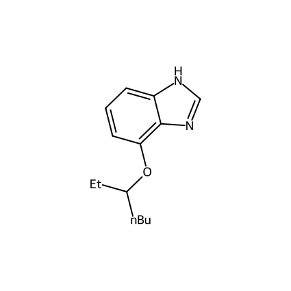 CCCCC(CC)Oc1cccc2[nH]cnc12